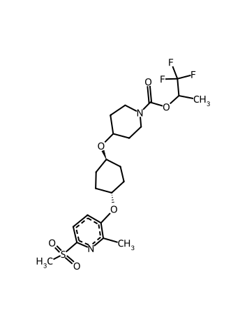 Cc1nc(S(C)(=O)=O)ccc1O[C@H]1CC[C@H](OC2CCN(C(=O)OC(C)C(F)(F)F)CC2)CC1